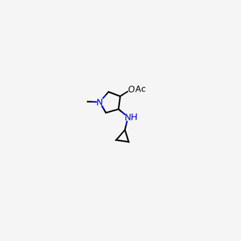 CC(=O)OC1CN(C)CC1NC1CC1